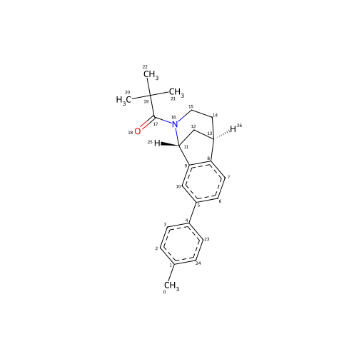 Cc1ccc(-c2ccc3c(c2)[C@H]2C[C@H]3CCN2C(=O)C(C)(C)C)cc1